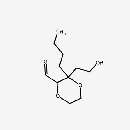 CCCCC1(CCO)OCCOC1C=O